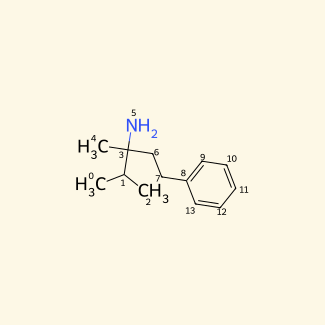 CC(C)C(C)(N)CCc1ccccc1